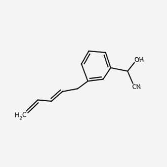 C=CC=CCc1cccc(C(O)C#N)c1